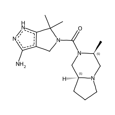 C[C@H]1CN2CCC[C@H]2CN1C(=O)N1Cc2c(N)n[nH]c2C1(C)C